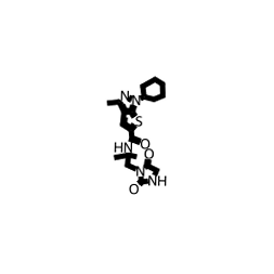 Cc1nn(C2CCCCC2)c2sc(C(=O)NC(C)(C)CN3C(=O)CNC3=O)cc12